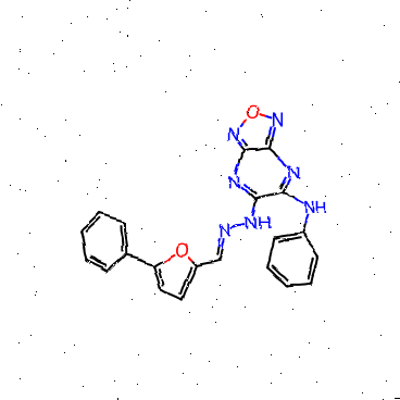 C(=NNc1nc2nonc2nc1Nc1ccccc1)c1ccc(-c2ccccc2)o1